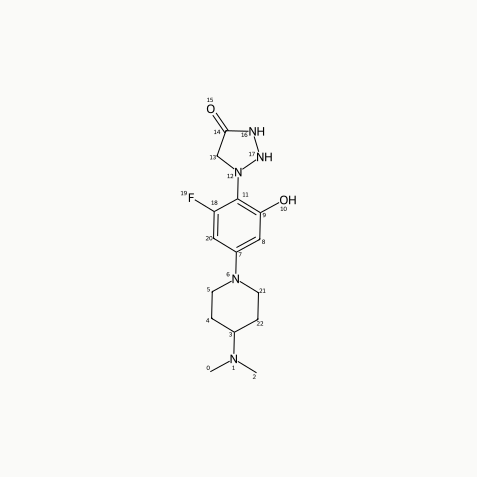 CN(C)C1CCN(c2cc(O)c(N3CC(=O)NN3)c(F)c2)CC1